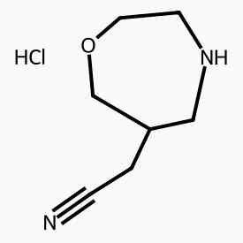 Cl.N#CCC1CNCCOC1